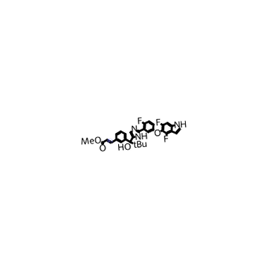 COC(=O)/C=C/c1cccc(C(O)(c2cnc(-c3cc(Oc4c(F)cc5[nH]ccc5c4F)ccc3F)[nH]2)C(C)(C)C)c1